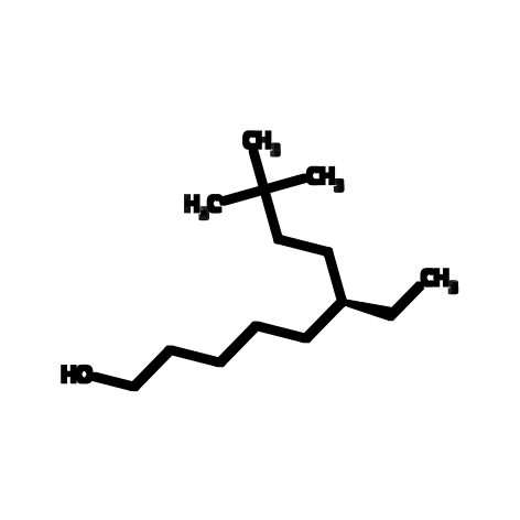 CC[C@@H](CCCCCO)CCC(C)(C)C